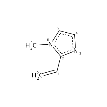 C=[C]c1nccn1C